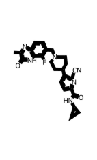 Cc1nc2ccc(CN3CCC(c4ccc(C(=O)NC5CC5)nc4C#N)CC3)c(F)c2[nH]c1=O